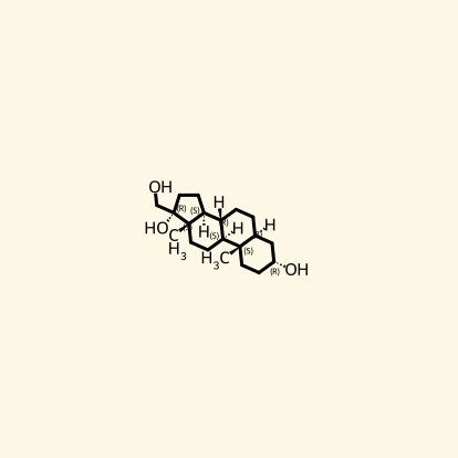 C[C@]12CC[C@@H](O)C[C@@H]1CC[C@@H]1[C@@H]2CC[C@@]2(C)[C@H]1CC[C@]2(O)CO